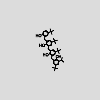 CC(C)c1cc(C(C)(C)C)cc(Cc2cc(C(C)(C)C)cc(Cc3cc(C(C)(C)C)cc(Cc4cc(C(C)(C)C)ccc4O)c3O)c2O)c1O